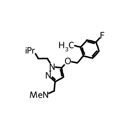 CNCc1cc(OCc2ccc(F)cc2C)n(CCC(C)C)n1